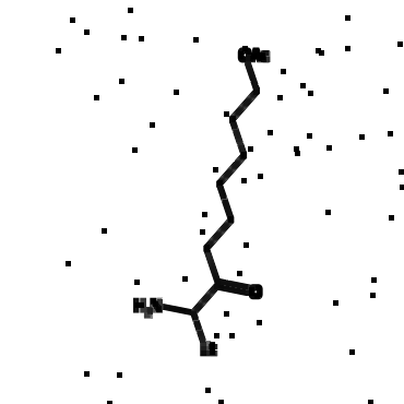 CCC(N)C(=O)CCCCCCOC(C)=O